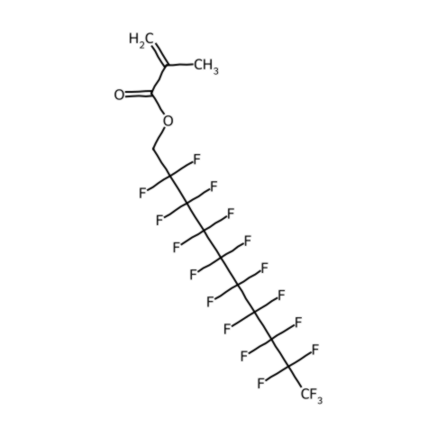 C=C(C)C(=O)OCC(F)(F)C(F)(F)C(F)(F)C(F)(F)C(F)(F)C(F)(F)C(F)(F)C(F)(F)C(F)(F)F